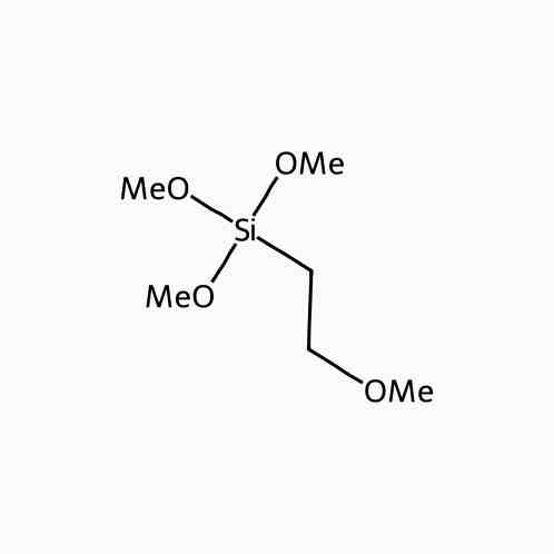 COCC[Si](OC)(OC)OC